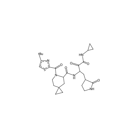 CC(C)(C)c1csc(C(=O)N2CCC3(CC3)CC2C(=O)NC(CC2CCNC2=O)C(=O)C(=O)NC2CC2)n1